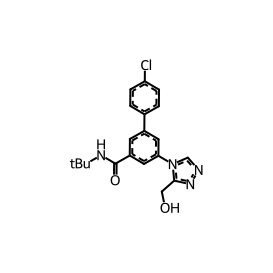 CC(C)(C)NC(=O)c1cc(-c2ccc(Cl)cc2)cc(-n2cnnc2CO)c1